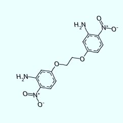 Nc1cc(OCCOc2ccc([N+](=O)[O-])c(N)c2)ccc1[N+](=O)[O-]